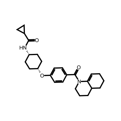 O=C(N[C@H]1CC[C@@H](Oc2ccc(C(=O)N3CCCC4CCCC=C43)cc2)CC1)C1CC1